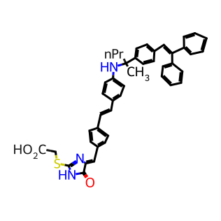 CCCC(C)(Nc1ccc(/C=C/c2ccc(/C=C3\N=C(SCC(=O)O)NC3=O)cc2)cc1)c1ccc(C=C(c2ccccc2)c2ccccc2)cc1